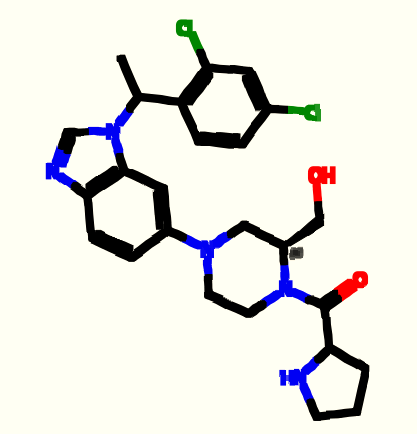 CC(c1ccc(Cl)cc1Cl)n1cnc2ccc(N3CCN(C(=O)C4CCCN4)[C@H](CO)C3)cc21